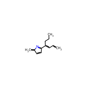 C=C/C=C(\CCC)C1=NC(=C)C=C1